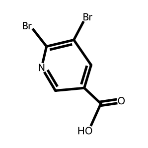 O=C(O)c1cnc(Br)c(Br)c1